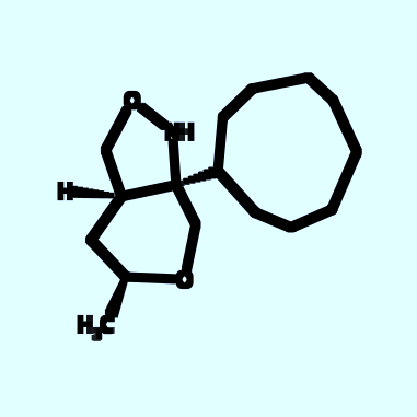 C[C@H]1C[C@H]2CON[C@@]2(C2CCCCCCCC2)CO1